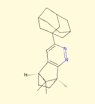 CC1(C)[C@H]2CC[C@]1(C)c1nnc(C34CC5CC(CC(C5)C3)C4)cc12